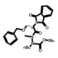 CCCCN(C(=O)OC(C)(C)C)N(C)C(=O)[C@H](COCc1ccccc1)N1C(=O)c2ccccc2C1=O